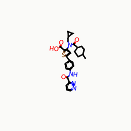 CC1CCC(C(=O)N(CC2CC2)c2cc(-c3ccc(NC(=O)c4cccnn4)cc3)sc2C(=O)O)CC1